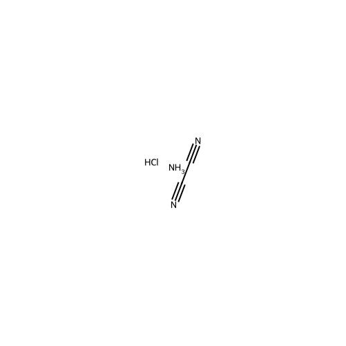 Cl.N.N#CC#N